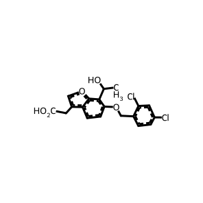 CC(O)c1c(OCc2ccc(Cl)cc2Cl)ccc2c(CC(=O)O)coc12